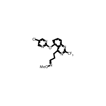 CON=CCCc1nc(C(F)(F)F)nc2cccc(Oc3ncc(Cl)cn3)c12